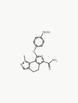 CC(=O)Nc1ccc(Oc2sc(C(N)=O)c3c2-c2c(cnn2C)CC3)cc1